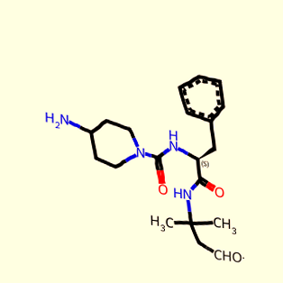 CC(C)(C[C]=O)NC(=O)[C@H](Cc1ccccc1)NC(=O)N1CCC(N)CC1